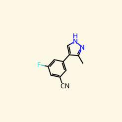 Cc1n[nH]cc1-c1cc(F)cc(C#N)c1